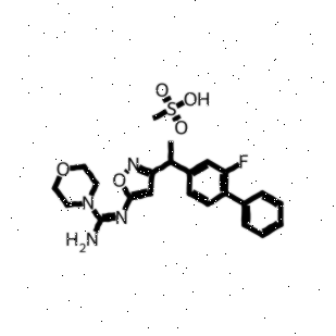 CC(c1ccc(-c2ccccc2)c(F)c1)c1cc(N=C(N)N2CCOCC2)on1.CS(=O)(=O)O